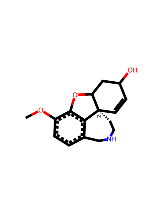 COc1ccc2c3c1OC1CC(O)C=C[C@@]31CCNC2